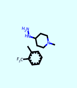 CN1CCC(NN)CC1.Cc1ccccc1C(F)(F)F